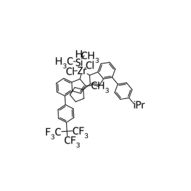 CC1=Cc2c(-c3ccc(C(C(F)(F)F)(C(F)(F)F)C(F)(F)F)cc3)cccc2[CH]1[Zr]([Cl])([Cl])([CH]1C(C2CCCC2)=Cc2c(-c3ccc(C(C)C)cc3)cccc21)[SiH](C)C